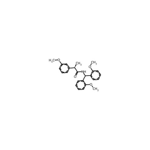 COc1cccc([C@@H](C)C(=O)NC(c2ccccc2OC)c2ccccc2OC)c1